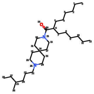 CCCCCCC(CCCCCC)C(=O)N1CCC2(CCN(CCCC(C)CC)CC2)CC1